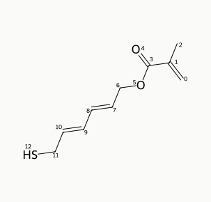 C=C(C)C(=O)OC/C=C/C=C/CS